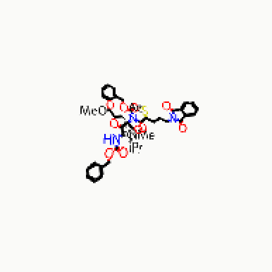 CNC(=O)[C@@](CCC(=O)OC)(C(=O)[C@H](CC(C)C)NC(=O)OCc1ccccc1)N(C(=O)OCc1ccccc1)C(=O)C(CCCN1C(=O)c2ccccc2C1=O)SC(C)=O